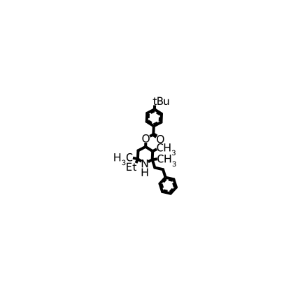 CCC1(C)CC(OC(=O)c2ccc(C(C)(C)C)cc2)C(C)C(C)(CCc2ccccc2)N1